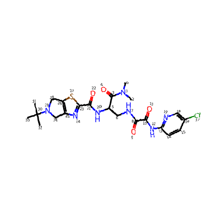 CN(C)C(=O)C(CNC(=O)C(=O)Nc1ccc(Cl)cn1)NC(=O)c1nc2c(s1)CN(C(C)(C)C)C2